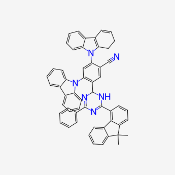 CC1(C)c2ccccc2-c2c(C3=NC(c4ccccc4)=NC(c4cc(C#N)c(-n5c6c(c7ccccc75)C=CCC6)cc4-n4c5ccccc5c5ccccc54)N3)cccc21